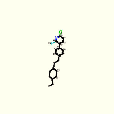 CCC1CCC(CCc2ccc(-c3ccc(Cl)nc3F)cc2)CC1